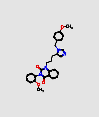 COc1ccc(Cn2cncc2CCCn2c(=O)n(-c3ccccc3OC)c(=O)c3ccccc32)cc1